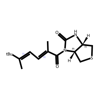 C/C(=C\C=C(/C)C(C)(C)C)C(=O)N1C(=O)N[C@@H]2CSC[C@@H]21